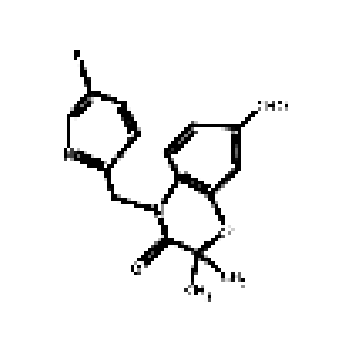 CC1(C)Oc2cc(C=O)ccc2N(Cc2ccc(F)cn2)C1=O